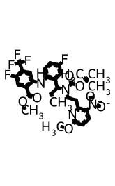 CCC(c1cc(F)ccc1Nc1cc(C(F)(F)F)c(F)cc1C(=O)OC)N(CCc1nc(OC)ccc1[N+](=O)[O-])C(=O)OC(C)(C)C